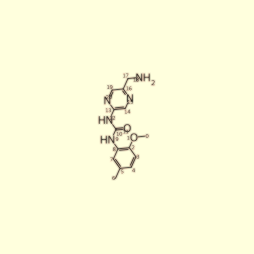 COc1ccc(C)cc1NC(=O)Nc1cnc(CN)cn1